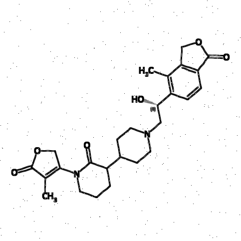 CC1=C(N2CCCC(C3CCN(C[C@H](O)c4ccc5c(c4C)COC5=O)CC3)C2=O)COC1=O